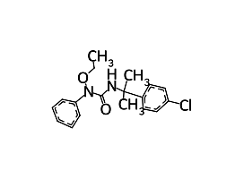 CCON(C(=O)NC(C)(C)c1ccc(Cl)cc1)c1ccccc1